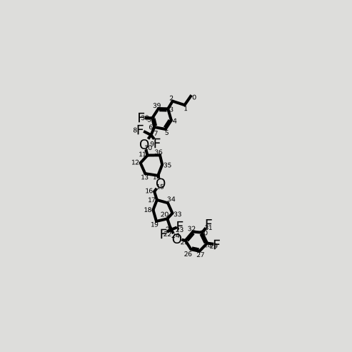 CCCc1ccc(C(F)(F)OC2CCC(OCC3CCC(C(F)(F)Oc4ccc(F)c(F)c4)CC3)CC2)c(F)c1